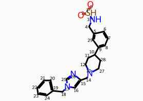 O=[SH](=O)NCc1cccc(C2CCN(Cc3cn(Cc4ccccc4)cn3)CC2)c1